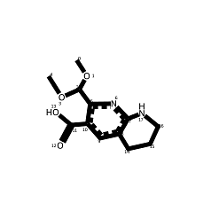 COC(OC)c1nc2c(cc1C(=O)O)CCCN2